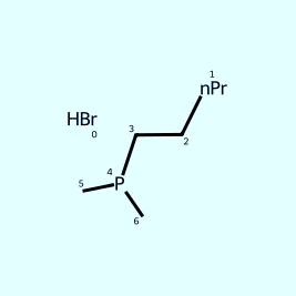 Br.CCCCCP(C)C